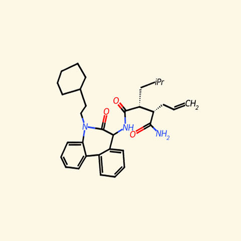 C=CC[C@H](C(N)=O)[C@@H](CC(C)C)C(=O)NC1C(=O)N(CCC2CCCCC2)c2ccccc2-c2ccccc21